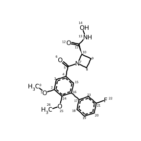 COc1cc(C(=O)N2CC[C@@H]2C(=O)NO)cc(-c2cccc(F)c2)c1OC